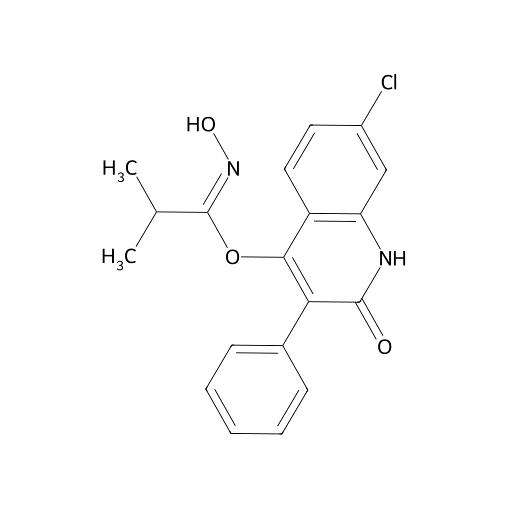 CC(C)/C(=N\O)Oc1c(-c2ccccc2)c(=O)[nH]c2cc(Cl)ccc12